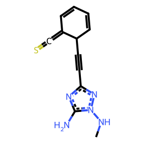 CNn1nc(C#CC2C=CC=CC2=C=S)nc1N